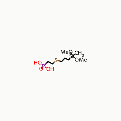 CO[Si](C)(CCCSCCP(=O)(O)O)OC